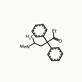 CCC(=O)C(CC(C)NC)(c1ccccc1)c1ccccc1